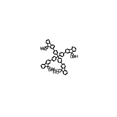 OCC1(CO)c2ccccc2-c2ccc(-c3ccc(C(c4ccc(-c5ccc6c(c5)C(CO)(CO)c5ccccc5-6)cc4)(c4ccc(-c5ccc6c(c5)C(CO)(CO)c5ccccc5-6)cc4)c4ccc(-c5ccc6c(c5)C(CO)(CO)c5ccccc5-6)cc4)cc3)cc21